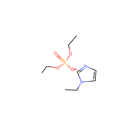 CCOP(=O)(O)OCC.CCn1ccnc1